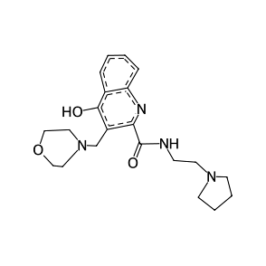 O=C(NCCN1CCCC1)c1nc2ccccc2c(O)c1CN1CCOCC1